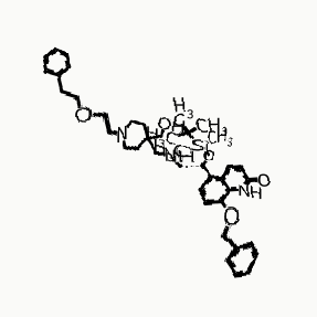 CC(C)(C)[Si](C)(C)O[C@@H](CNCC1(CO)CCN(CCOCCc2ccccc2)CC1)c1ccc(OCc2ccccc2)c2[nH]c(=O)ccc12